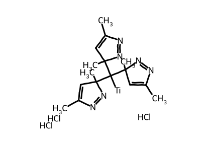 CC1=CC(C)([C]([Ti])(C2(C)C=C(C)N=N2)C2(C)C=C(C)N=N2)N=N1.Cl.Cl.Cl